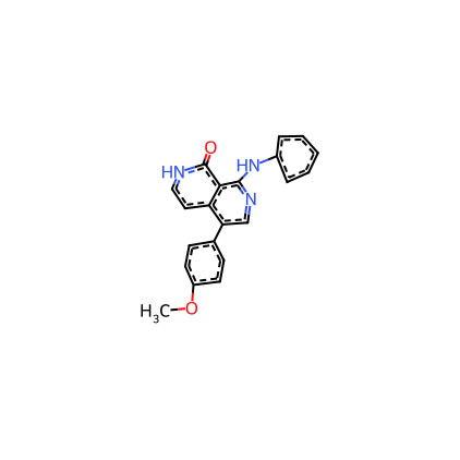 COc1ccc(-c2cnc(Nc3ccccc3)c3c(=O)[nH]ccc23)cc1